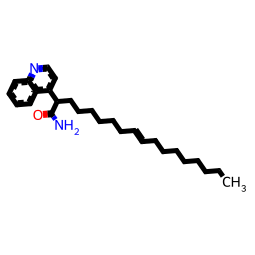 CCCCCCCCC=CCCCCCCC(C(N)=O)c1ccnc2ccccc12